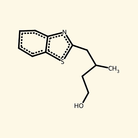 CC(CCO)Cc1nc2ccccc2s1